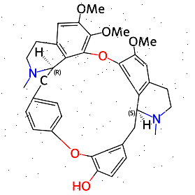 COc1cc2c3cc1Oc1c(OC)c(OC)cc4c1[C@@H](Cc1ccc(cc1)Oc1cc(ccc1O)C[C@@H]3N(C)CC2)N(C)CC4